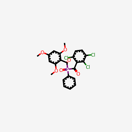 COc1cc(OC)c(C(=O)P(=O)(C(=O)c2c(Cl)ccc(Cl)c2Cl)c2ccccc2)c(OC)c1